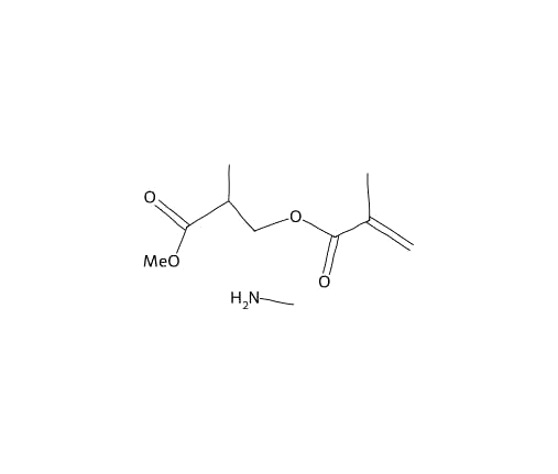 C=C(C)C(=O)OCC(C)C(=O)OC.CN